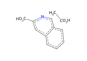 CC(=O)O.O=C(O)c1cc2ccccc2cn1